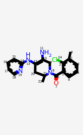 Cc1cccc(C(=O)N2CC(N)=C(Nc3ccccn3)CC2C)c1Cl